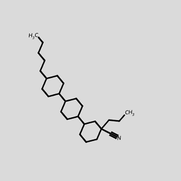 CCCCCC1CCC(C2CCC(C3CCCC(C#N)(CCC)C3)CC2)CC1